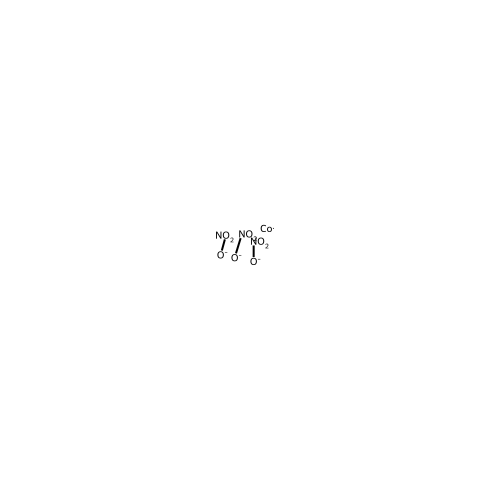 O=[N+]([O-])[O-].O=[N+]([O-])[O-].O=[N+]([O-])[O-].[Co]